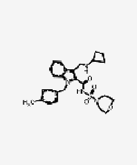 Cc1ccc(Cn2c(C(=O)NS(=O)(=O)N3CCOCC3)c(CNC3CCC3)c3ccccc32)cc1